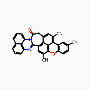 N#Cc1ccc2c(c1)-c1c(C#N)cc3c4c(cc(C#N)c(c14)O2)C1=Nc2cccc4cccc(c24)N1C(=O)C3